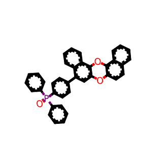 O=P(c1ccccc1)(c1ccccc1)c1ccc(-c2cc3c(c4ccccc24)Oc2c(ccc4ccccc24)O3)cc1